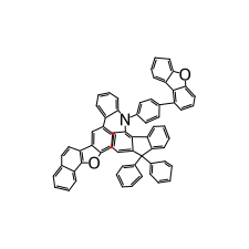 c1ccc(C2(c3ccccc3)c3ccccc3-c3c(N(c4ccc(-c5cccc6oc7ccccc7c56)cc4)c4ccccc4-c4ccc5oc6c7ccccc7ccc6c5c4)cccc32)cc1